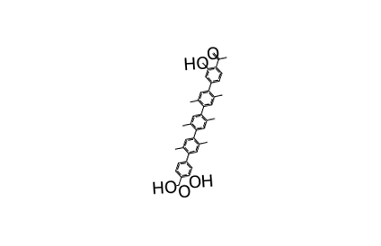 CC(=O)c1ccc(-c2cc(C)c(-c3cc(C)c(-c4cc(C)c(-c5ccc(C(=O)O)c(O)c5)cc4C)cc3C)cc2C)cc1O